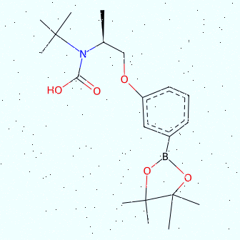 C[C@@H](COc1cccc(B2OC(C)(C)C(C)(C)O2)c1)N(C(=O)O)C(C)(C)C